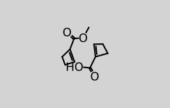 COC(=O)C1=CCC1.O=C(O)C1=CCC1